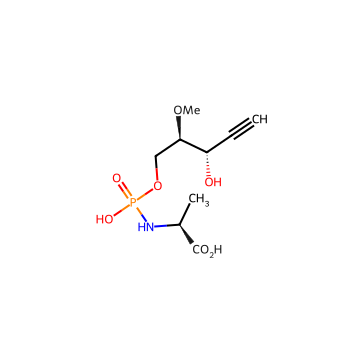 C#C[C@H](O)[C@@H](COP(=O)(O)N[C@@H](C)C(=O)O)OC